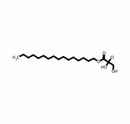 CCCCCCCCCCCCCCCCOC(=O)C(O)(Cl)CO